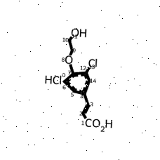 Cl.O=C(O)C=Cc1ccc(OCCO)c(Cl)c1